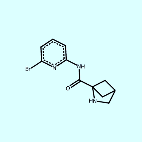 O=C(Nc1cccc(Br)n1)C12CC(CN1)C2